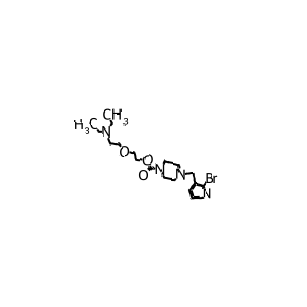 CCN(CC)CCOCCOC(=O)N1CCN(Cc2cccnc2Br)CC1